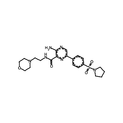 Nc1ncc(-c2ccc(S(=O)(=O)N3CCCC3)cc2)nc1C(=O)NCCN1CCOCC1